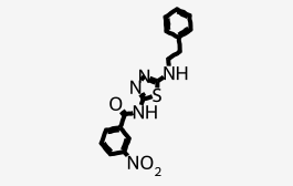 O=C(Nc1nnc(NCCc2ccccc2)s1)c1cccc([N+](=O)[O-])c1